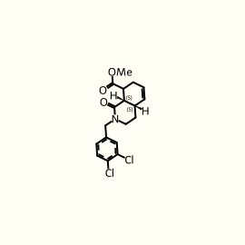 COC(=O)C1CC=C[C@@H]2CCN(Cc3ccc(Cl)c(Cl)c3)C(=O)[C@H]12